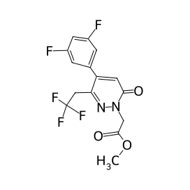 COC(=O)Cn1nc(CC(F)(F)F)c(-c2cc(F)cc(F)c2)cc1=O